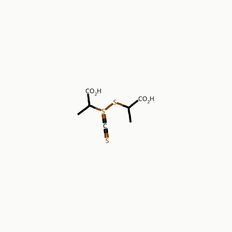 CC(SS(=C=S)C(C)C(=O)O)C(=O)O